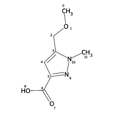 COCc1cc(C(=O)O)nn1C